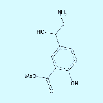 COC(=O)c1cc(C(O)CN)ccc1O